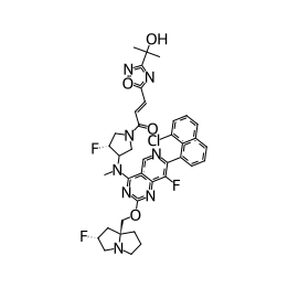 CN(c1nc(OC[C@@]23CCCN2C[C@H](F)C3)nc2c(F)c(-c3cccc4cccc(Cl)c34)ncc12)C1CN(C(=O)/C=C/c2nc(C(C)(C)O)no2)C[C@H]1F